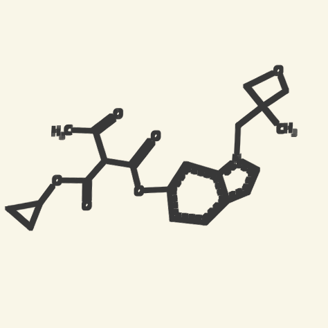 CC(=O)C(C(=O)Oc1ccc2ccn(CC3(C)COC3)c2c1)C(=O)OC1CC1